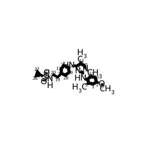 COc1cc(C)c(Nc2ncc(C)c(Nc3ccc(CCNS(=O)(=O)C4CC4)cc3)n2)c(C)c1